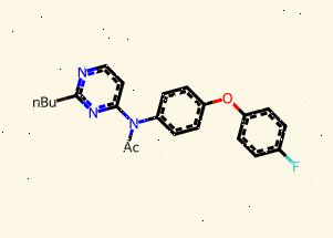 CCCCc1nccc(N(C(C)=O)c2ccc(Oc3ccc(F)cc3)cc2)n1